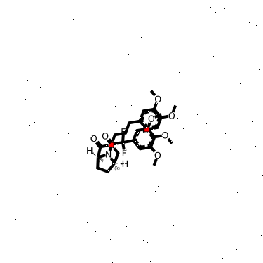 COc1ccc(CCCN2C[C@H]3CC[C@@H](C2=O)N3C(=O)C(F)(F)c2cc(OC)c(OC)c(OC)c2)cc1OC